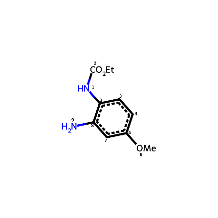 CCOC(=O)Nc1ccc(OC)cc1N